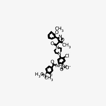 COc1ccccc1-c1noc(C)c1C(=O)N1CCN(c2cc(NC(=O)c3ccc(N(C)C)c(F)c3)c([N+](=O)[O-])cc2Cl)CC1